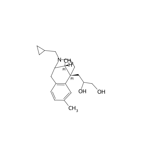 Cc1ccc2c(c1)[C@@]1(CC(O)CO)CCN(CC3CC3)C(C2)[C@@H]1C